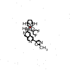 Cc1ncc(-c2cc3cc(NC(=O)N4[C@@H]5CC[C@H]4CC(NC(CF)CF)C5)ncc3cn2)o1